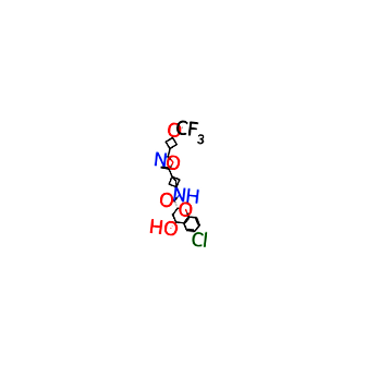 O=C(NC12CC(c3cnc(C4CC(OC(F)(F)F)C4)o3)(C1)C2)[C@H]1C[C@@H](O)c2cc(Cl)ccc2O1